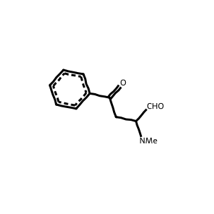 CNC(C=O)CC(=O)c1ccccc1